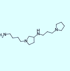 NCCCCN1CCC(NCCCN2CCCC2)C1